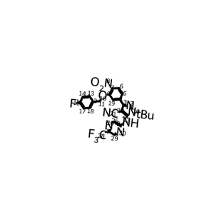 CC(C)(C)n1nc(-c2ccc([N+](=O)[O-])c(OCc3ccc(F)cc3)c2)c(C#N)c1Nc1cnc(C(F)(F)F)cn1